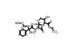 CC(C)(C)OC(=O)NC(N)(C(=O)N[C@@H]1C(=O)N2C(C(=O)OCC(Cl)(Cl)Cl)C(O)CS[C@@H]12)C1=CCC=CC1